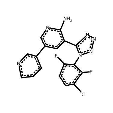 Nc1ncc(-c2cccnc2)cc1-c1nnnn1-c1c(F)ccc(Cl)c1F